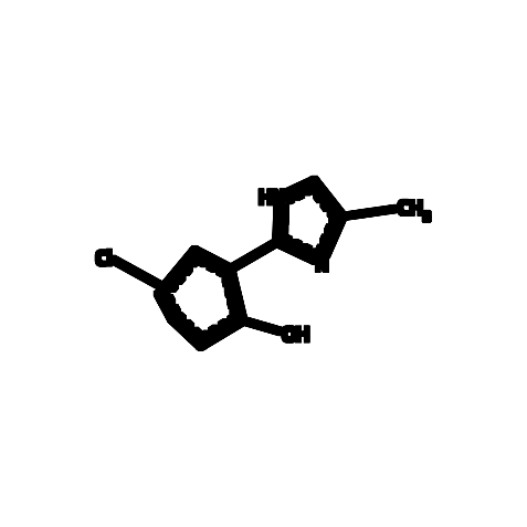 Cc1c[nH]c(-c2cc(Cl)ccc2O)n1